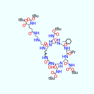 CC(C)CC1NC(=O)[C@@H](Cc2ccccc2)NC(=O)[C@H](CCNC(=O)OC(C)(C)C)NC(=O)[C@@H](NC(=O)CCNCCNC(=O)CC[C@H](NC(=O)OC(C)(C)C)C(=O)OC(C)(C)C)CCNC(=O)[C@H]([C@@H](C)O)NC(=O)[C@H](CCNC(=O)OC(C)(C)C)NC(=O)[C@H](CCNC(=O)OC(C)(C)C)NC1=O